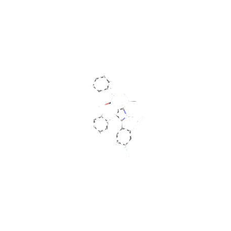 CC(C)c1c(C(=O)Nc2ccccc2)c(-c2ccccc2)c(-c2ccc(F)cc2)n1O